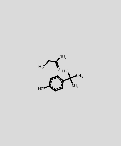 CC(C)(C)c1ccc(O)cc1.CCC(N)=O